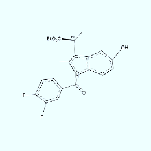 CCOC(=O)[C@@H](C)c1c(C)n(C(=O)c2ccc(F)c(F)c2)c2ccc(O)cc12